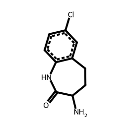 NC1CCc2cc(Cl)ccc2NC1=O